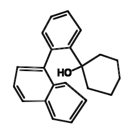 OC1(c2ccccc2-c2cccc3ccccc23)CCCCC1